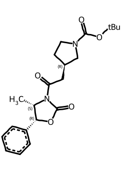 C[C@H]1[C@@H](c2ccccc2)OC(=O)N1C(=O)C[C@H]1CCN(C(=O)OC(C)(C)C)C1